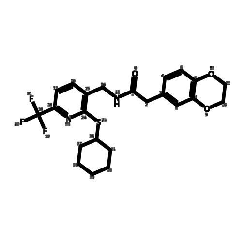 O=C(Cc1ccc2c(c1)OCCO2)NCc1ccc(C(F)(F)F)nc1SC1CCCCC1